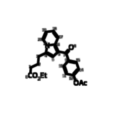 CCOC(=O)CCCc1cc(C(=O)c2ccc(OC(C)=O)cc2)c2ccccn12